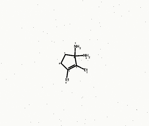 CCC1=C(CC)C(N)(N)CC1